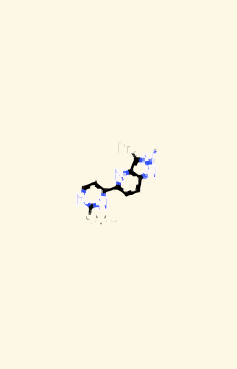 CSc1nccc(-c2ccc3nn(C)c(C(C)C)c3n2)n1